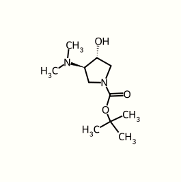 CN(C)[C@@H]1CN(C(=O)OC(C)(C)C)C[C@H]1O